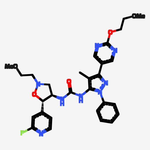 COCCOc1ncc(-c2nn(-c3ccccc3)c(NC(=O)N[C@@H]3CN(CCOC)O[C@H]3c3ccnc(F)c3)c2C)cn1